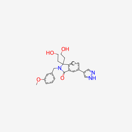 COc1cccc(CN2C(=O)c3cc(-c4cn[nH]c4)ccc3C2(CCO)CCO)c1